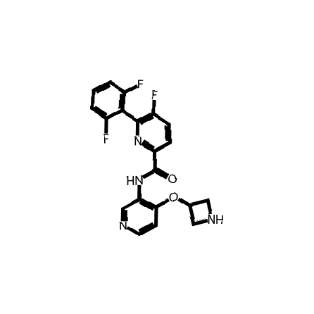 O=C(Nc1cnccc1OC1CNC1)c1ccc(F)c(-c2c(F)cccc2F)n1